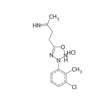 CC(=N)CCC1=NN(c2cccc(Cl)c2C)NO1.Cl